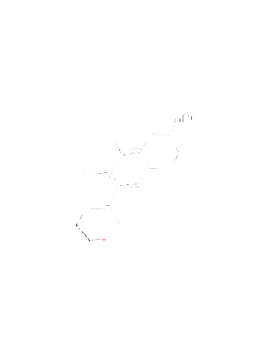 CCCC1CCc2cc(C3=CCCOC3)c(F)c(F)c2O1